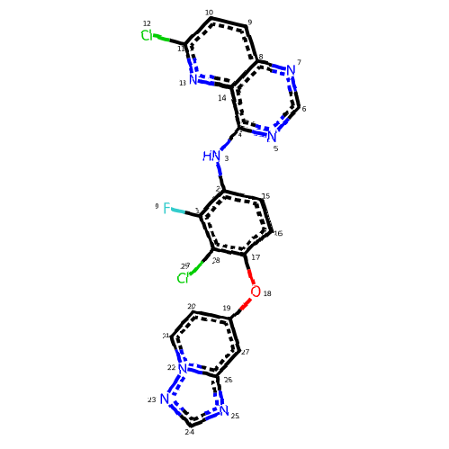 Fc1c(Nc2ncnc3ccc(Cl)nc23)ccc(Oc2ccn3ncnc3c2)c1Cl